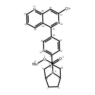 CC(C)(C)OC(=O)N1C2CCC1CN(c1ccc(-c3nc(Cl)cc4ncccc34)cn1)C2